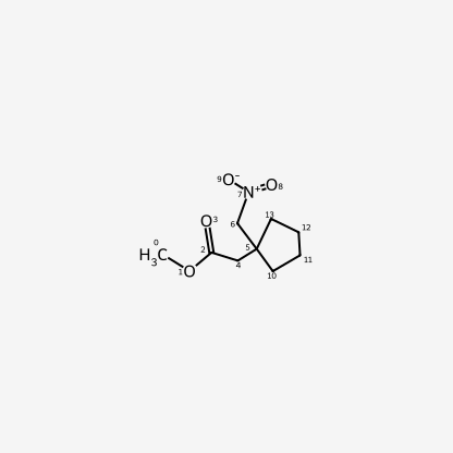 COC(=O)CC1(C[N+](=O)[O-])CCCC1